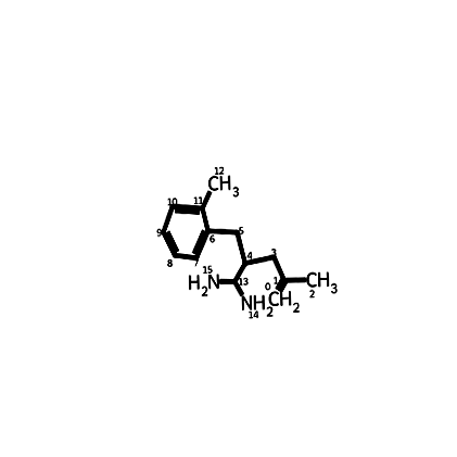 C=C(C)CC(Cc1ccccc1C)C(N)N